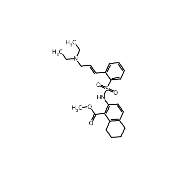 CCN(CC)CC=Cc1ccccc1S(=O)(=O)Nc1ccc2c(c1C(=O)OC)CCCC2